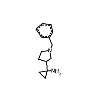 NC1(C2CCN(Cc3ccccc3)C2)CC1